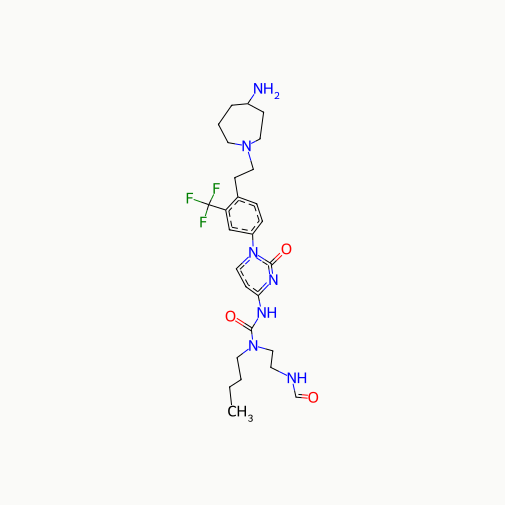 CCCCN(CCNC=O)C(=O)Nc1ccn(-c2ccc(CCN3CCCC(N)CC3)c(C(F)(F)F)c2)c(=O)n1